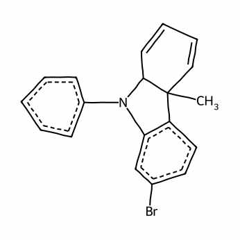 CC12C=CC=CC1N(c1ccccc1)c1cc(Br)ccc12